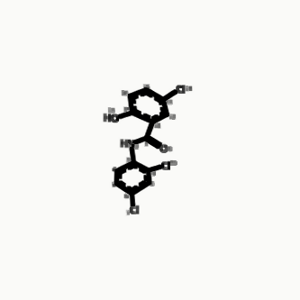 O=C(Nc1ccc(Cl)cc1Cl)c1cc(Cl)ccc1O